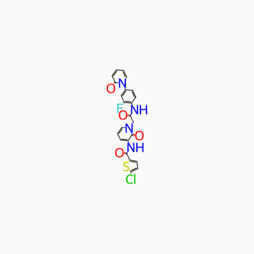 O=C(Cn1cccc(NC(=O)c2ccc(Cl)s2)c1=O)Nc1ccc(-n2ccccc2=O)cc1F